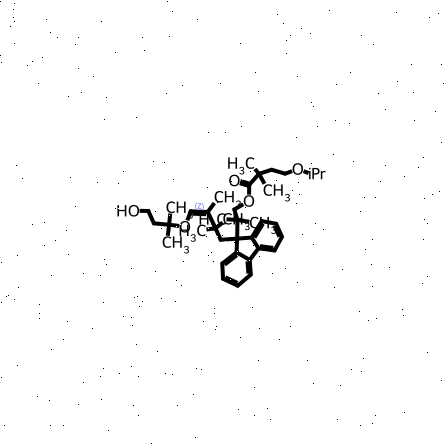 C/C(=C/OC(C)(C)CCO)C(C)(C)CC1(C(C)(C)COC(=O)C(C)(C)CCOC(C)C)c2ccccc2-c2ccccc21